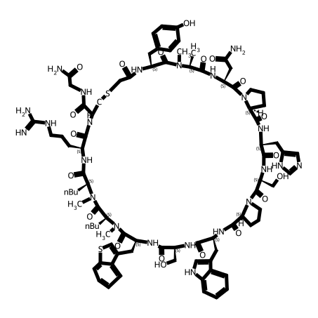 CCCC[C@H]1C(=O)N(C)[C@@H](CCCC)C(=O)N[C@@H](CCCNC(=N)N)C(=O)NC(C(=O)NCC(N)=O)CSCC(=O)N[C@@H](Cc2ccc(O)cc2)C(=O)N(C)[C@@H](C)C(=O)N[C@@H](CC(N)=O)C(=O)N2CCC[C@H]2C(=O)N[C@@H](Cc2cnc[nH]2)C(=O)N[C@@H](CO)C(=O)N2CCC[C@H]2C(=O)N[C@@H](Cc2c[nH]c3ccccc23)C(=O)N[C@@H](CO)C(=O)N[C@@H](Cc2csc3ccccc23)C(=O)N1C